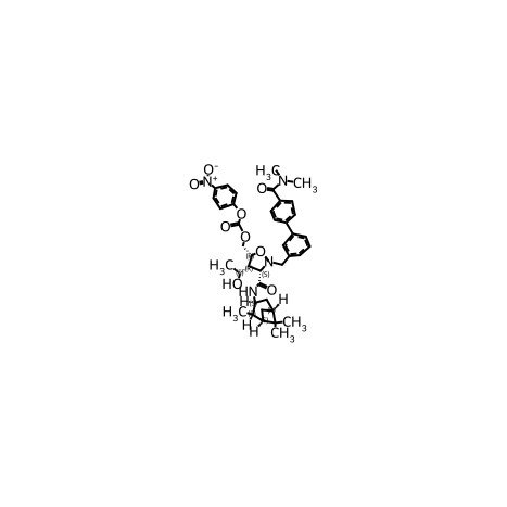 C[C@@H]1[C@@H](NC(=O)[C@@H]2[C@H]([C@H](C)O)[C@H](COC(=O)Oc3ccc([N+](=O)[O-])cc3)ON2Cc2cccc(-c3ccc(C(=O)N(C)C)cc3)c2)C[C@H]2C[C@@H]1C2(C)C